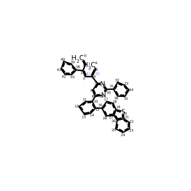 C=C/C(=C\C(=C/C)c1cc(-c2ccccc2-c2ccc3sc4ccccc4c3c2)nc(-c2ccccc2)n1)c1ccccc1